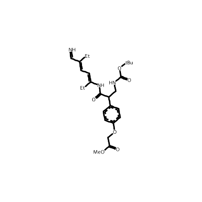 CC/C(C=N)=C\C=C(/CC)NC(=O)C(CNC(=O)OC(C)(C)C)c1ccc(OCC(=O)OC)cc1